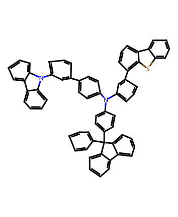 c1ccc(C2(c3ccc(N(c4ccc(-c5cccc(-n6c7ccccc7c7ccccc76)c5)cc4)c4cccc(-c5cccc6c5sc5ccccc56)c4)cc3)c3ccccc3-c3ccccc32)cc1